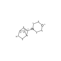 C1=C(N2CCOCC2)C2CCC1C2